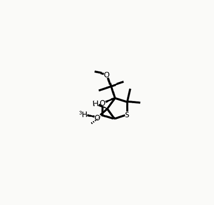 [3H]O[C@H]1C2SC(C)(C)C1(C(C)(C)OC)O[C@H]2C